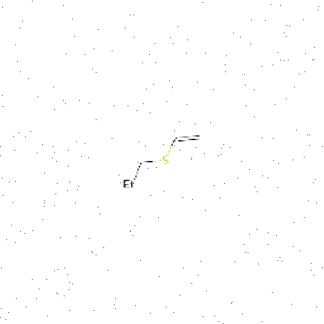 C=CS[CH]CC